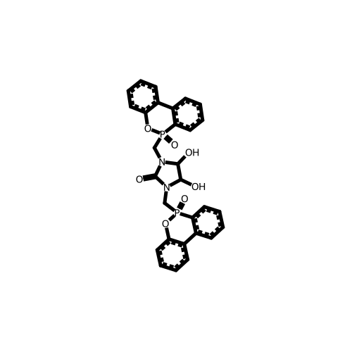 O=C1N(CP2(=O)Oc3ccccc3-c3ccccc32)C(O)C(O)N1CP1(=O)Oc2ccccc2-c2ccccc21